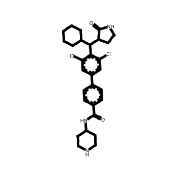 O=C(NC1CCNCC1)c1ccc(-c2cc(Cl)c(C(C3CCCCC3)C3CCNC3=O)c(Cl)c2)cc1